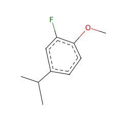 COc1ccc(C(C)C)cc1F